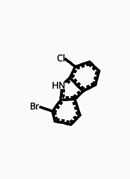 Clc1cccc2c1[nH]c1c(Br)cccc12